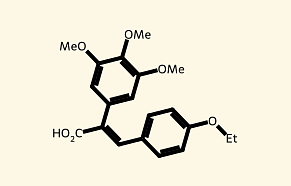 CCOc1ccc(C=C(C(=O)O)c2cc(OC)c(OC)c(OC)c2)cc1